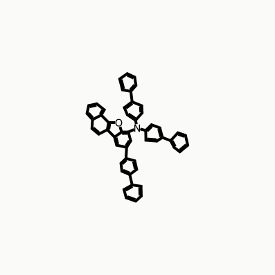 c1ccc(-c2ccc(-c3cc(N(c4ccc(-c5ccccc5)cc4)c4ccc(-c5ccccc5)cc4)c4oc5c6ccccc6ccc5c4c3)cc2)cc1